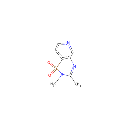 CC1=Nc2cnccc2S(=O)(=O)N1C